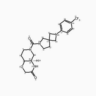 O=C1COC2CCN(C(=O)N3CCC4(C3)CN(c3ccc(C(F)(F)F)cc3)C4)C[C@H]2N1